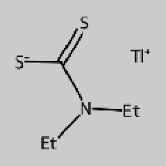 CCN(CC)C(=S)[S-].[Tl+]